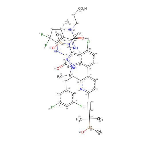 C[C@H]1CC(F)(F)C(NCC(=O)NC(Cc2cc(F)cc(F)c2)c2nc(C#CC(C)(C)[S+](C)[O-])ccc2-c2ccc(Cl)c3c(N(C(=O)NCCC(=O)O)[S+](C)[O-])nn(CC(F)(F)F)c23)=C1C(=N)C(F)(F)F